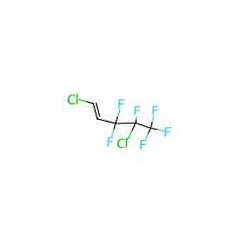 FC(F)(F)C(F)(Cl)C(F)(F)C=CCl